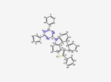 c1ccc(-c2nc(-c3ccccc3)nc(-n3c4cccc5c4c4c6c(c(-c7ccccc7)sc6ccc43)-c3ccccc3-5)n2)cc1